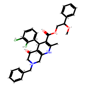 COC(COC(=O)C1=C(C)NC2=C(C(=O)CN(Cc3ccccc3)C2)C1c1cccc(Cl)c1Cl)c1ccccc1